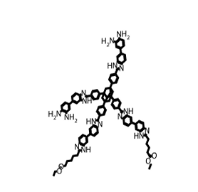 CCOOCCCCCc1nc2ccc(-c3ccc4nc(-c5ccc(C67CC8(c9ccc(-c%10nc%11ccc(-c%12ccc(N)c(N)c%12)cc%11[nH]%10)cc9)CC(c9ccc(-c%10nc%11ccc(-c%12ccc(N)c(N)c%12)cc%11[nH]%10)cc9)(C6)CC(c6ccc(-c9nc%10ccc(-c%11ccc%12nc(CCCCC(=O)OCC)[nH]c%12c%11)cc%10[nH]9)cc6)(C8)C7)cc5)[nH]c4c3)cc2[nH]1